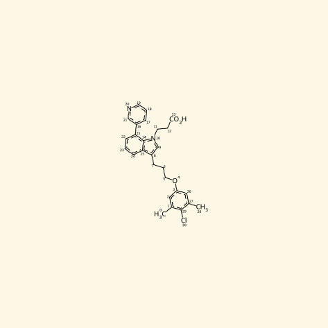 Cc1cc(OCCCc2cn(CCC(=O)O)c3c(-c4cccnc4)cccc23)cc(C)c1Cl